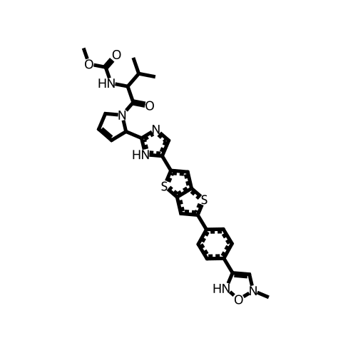 COC(=O)NC(C(=O)N1CC=CC1c1ncc(-c2cc3sc(-c4ccc(C5=CN(C)ON5)cc4)cc3s2)[nH]1)C(C)C